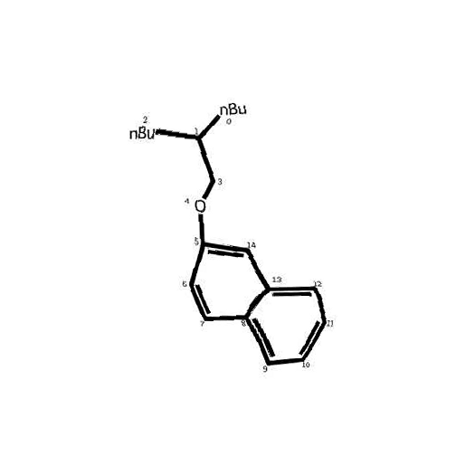 CCCCC(CCCC)COc1ccc2ccccc2c1